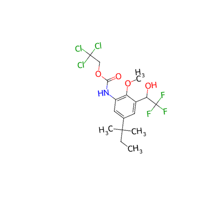 CCC(C)(C)c1cc(NC(=O)OCC(Cl)(Cl)Cl)c(OC)c(C(O)C(F)(F)F)c1